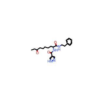 CCC(=O)CCCCCC(NC(=O)c1cn[nH]c1)C(=O)NCCc1ccccc1